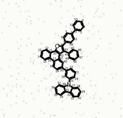 c1ccc(-c2ccc(-c3oc4c5ccccc5c5ccc(-c6cccc(-n7c8ccccc8c8ccccc87)c6)cc5c4c3-c3ccccc3)cc2)cc1